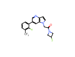 O=C(Cn1ccc2ncc(-c3cccc(C(F)(F)F)c3F)cc21)N1CC(F)C1